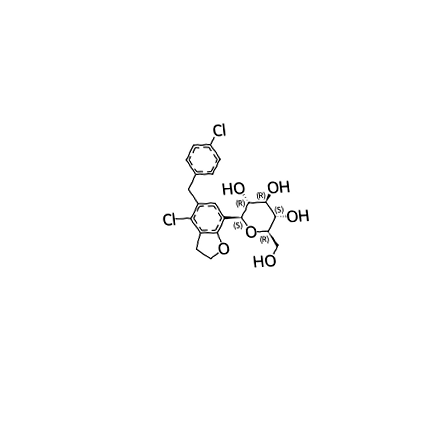 OC[C@H]1O[C@@H](c2cc(Cc3ccc(Cl)cc3)c(Cl)c3c2OCC3)[C@H](O)[C@@H](O)[C@@H]1O